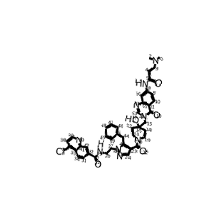 CN(C)CCC(=O)Nc1ccc2c(=O)n(CC3(O)CCN(C(=O)c4cnn(CCNC(=O)c5ccc6c(Cl)ccnc6c5)c4Cc4ccccc4)CC3)cnc2c1